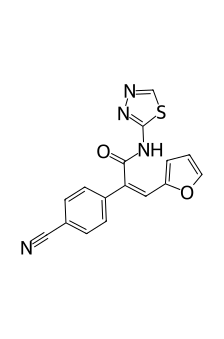 N#Cc1ccc(C(=Cc2ccco2)C(=O)Nc2nncs2)cc1